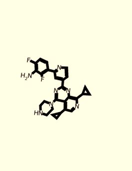 Nc1c(F)ccc(-c2cc(-c3nc(N4CCNCC4)c4c(C5CC5)cnc(C5CC5)c4n3)ccn2)c1F